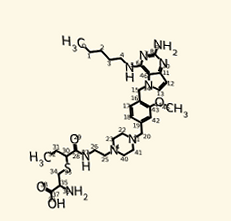 CCCCCNc1nc(N)nc2ccn(Cc3ccc(CN4CCN(CCNC(=O)C(CC)SCC(N)C(=O)O)CC4)cc3OC)c12